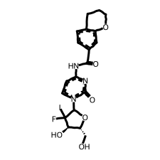 O=C(Nc1ccn(C2O[C@H](CO)[C@@H](O)C2(F)I)c(=O)n1)c1ccc2c(c1)OCCC2